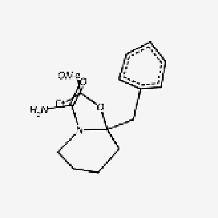 CCC(OC)OC1(Cc2ccccc2)CCCCN1C(N)=O